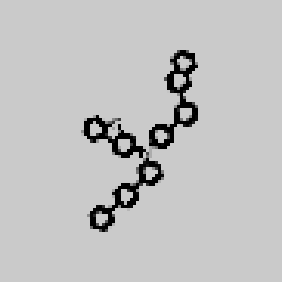 c1ccc(-c2ccc(-c3cccc(N(c4ccc(-c5cccc(-c6ccc7ccccc7c6)c5)cc4)c4ccc5c(c4)sc4ccccc45)c3)cc2)cc1